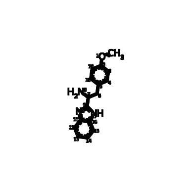 COc1ccc(CC(N)c2nc3ccccc3[nH]2)cc1